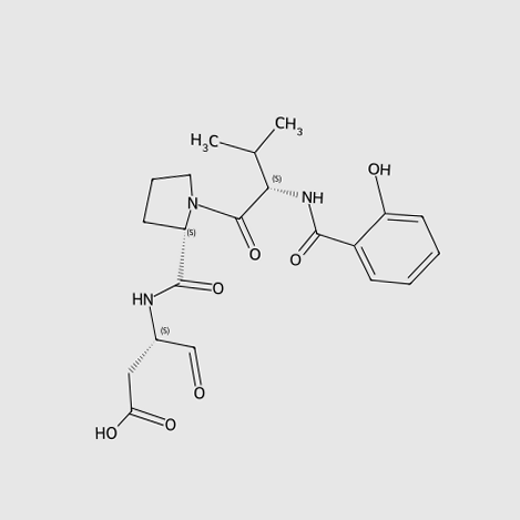 CC(C)[C@H](NC(=O)c1ccccc1O)C(=O)N1CCC[C@H]1C(=O)N[C@H](C=O)CC(=O)O